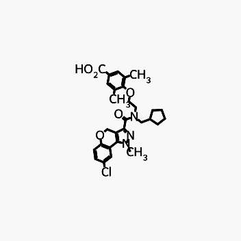 Cc1cc(C(=O)O)cc(C)c1OCCN(CC1CCCC1)C(=O)c1nn(C)c2c1COc1ccc(Cl)cc1-2